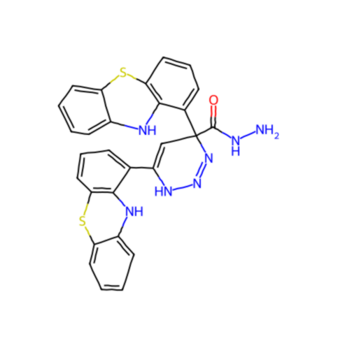 NNC(=O)C1(c2cccc3c2Nc2ccccc2S3)C=C(c2cccc3c2Nc2ccccc2S3)NN=N1